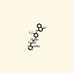 COc1nccnc1C(=O)NC(=O)Nc1ccc(Oc2ccc(Cl)c3ccccc23)c(C(F)(F)F)c1